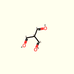 O=CC(C=O)C=O